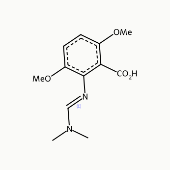 COc1ccc(OC)c(C(=O)O)c1/N=C/N(C)C